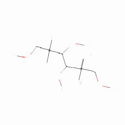 CCCCC(CCCC)(COCC)C(OCC)C(OCC)C(CCC)(CCC)COCC